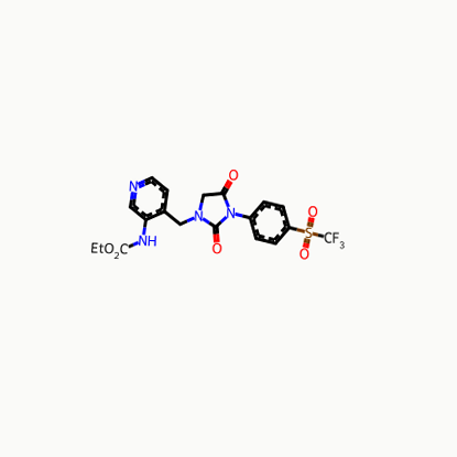 CCOC(=O)Nc1cnccc1CN1CC(=O)N(c2ccc(S(=O)(=O)C(F)(F)F)cc2)C1=O